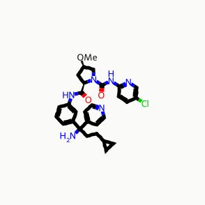 CO[C@@H]1C[C@H](C(=O)Nc2cccc(C(N)(CCC3CC3)c3ccncc3)c2)N(C(=O)Nc2ccc(Cl)cn2)C1